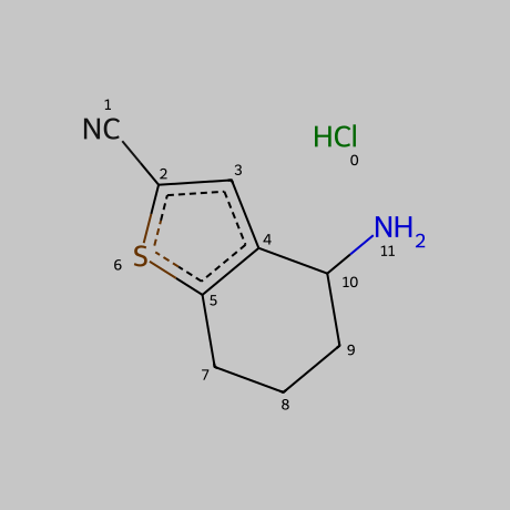 Cl.N#Cc1cc2c(s1)CCCC2N